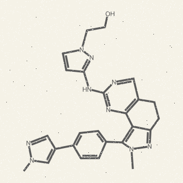 Cn1cc(-c2ccc(-c3c4c(nn3C)CCc3cnc(Nc5ccn(CCO)n5)nc3-4)cc2)cn1